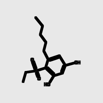 CCCCCc1cc(O)cc(O)c1S(=O)(=O)CC